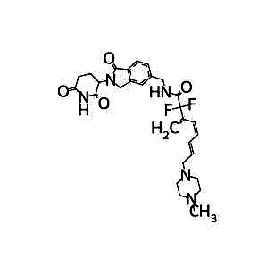 C=C(/C=C\C=C\CN1CCN(C)CC1)C(F)(F)C(=O)NCc1ccc2c(c1)CN(C1CCC(=O)NC1=O)C2=O